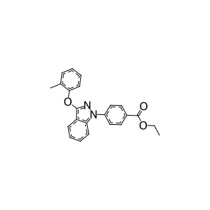 CCOC(=O)c1ccc(-n2nc(Oc3ccccc3C)c3ccccc32)cc1